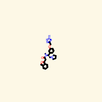 CN(C(=O)Cc1occ2ccccc12)[C@H](CN1CCCC1)c1cccc(OCc2nn[nH]n2)c1